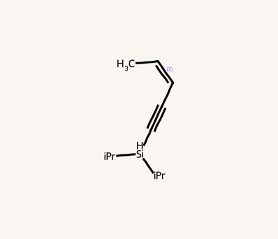 C/C=C\C#C[SiH](C(C)C)C(C)C